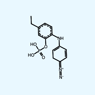 CCc1ccc(NC2=CCC(=[N+]=[N-])C=C2)c(OP(=O)(O)O)c1